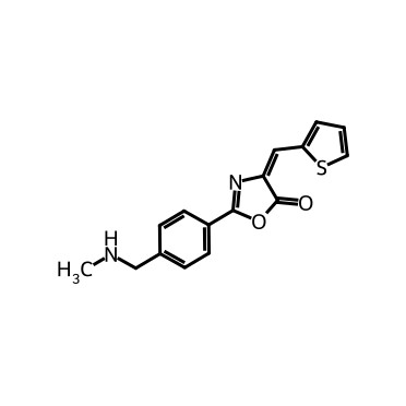 CNCc1ccc(C2=N/C(=C/c3cccs3)C(=O)O2)cc1